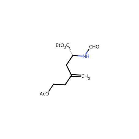 C=C(CCOC(C)=O)C[C@@H](NC=O)C(=O)OCC